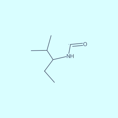 CCC(N[C]=O)C(C)C